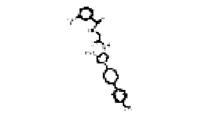 O=C(CNC(=O)c1cccc(C(F)(F)F)c1)N[C@H]1CN(C2CCC(c3ccc(C(F)(F)F)cc3)CC2)C[C@@H]1O